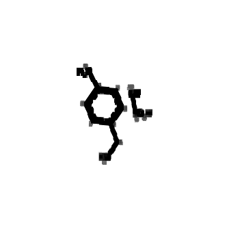 Nc1ccc(CO)cc1.O=S(=O)(O)O